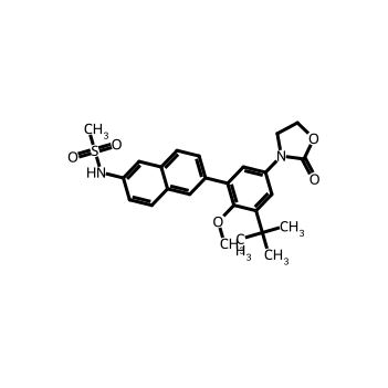 COc1c(-c2ccc3cc(NS(C)(=O)=O)ccc3c2)cc(N2CCOC2=O)cc1C(C)(C)C